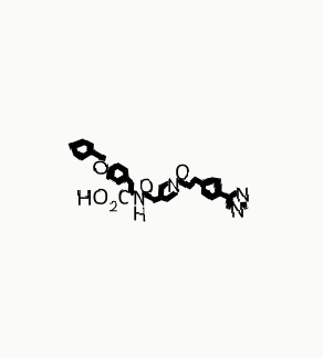 O=C(CC1CCN(C(=O)CCc2ccc(-c3cncnc3)cc2)CC1)N[C@@H](Cc1ccc(OCc2ccccc2)cc1)C(=O)O